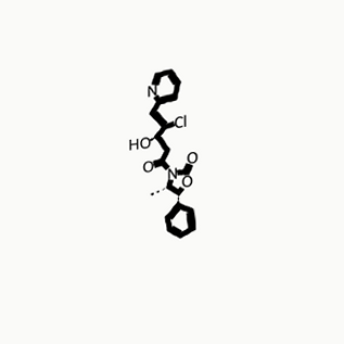 C[C@H]1[C@@H](c2ccccc2)OC(=O)N1C(=O)C[C@H](O)/C(Cl)=C/c1ccccn1